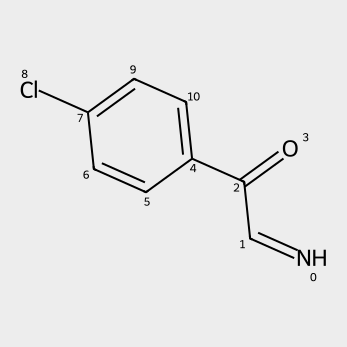 N=CC(=O)c1ccc(Cl)cc1